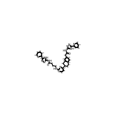 O=C(CCCNc1nccc(C2CCc3ccc(CC(=O)Nc4nnc(-c5ccccn5)[nH]4)cc3C2)n1)Nc1nnc(-c2ccccn2)[nH]1